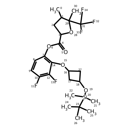 CC1CC(C(=O)Oc2ccc(F)c(F)c2OC2CC(O[Si](C)(C)C(C)(C)C)C2)OC1(C)C(F)(F)F